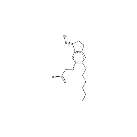 CCCCCCc1cc2c(cc1OCC(=O)O)/C(=N/O)CC2